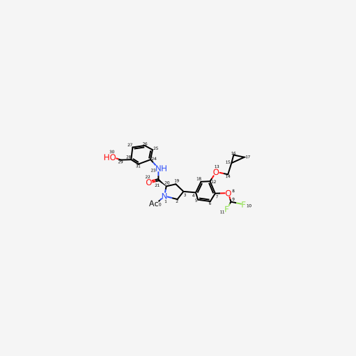 CC(=O)N1CC(c2ccc(OC(F)F)c(OCC3CC3)c2)C[C@@H]1C(=O)Nc1cccc(CO)c1